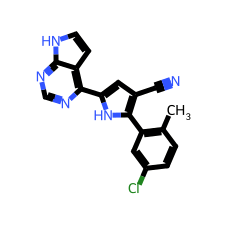 Cc1ccc(Cl)cc1-c1[nH]c(-c2ncnc3[nH]ccc23)cc1C#N